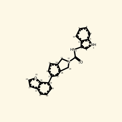 O=C(Nc1c[nH]c2ccccc12)N1Cc2ccc(-c3cccc4ccoc34)cc2C1